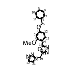 COc1cc(OCc2ccccc2)ccc1-c1nnc(Cn2ccnn2)o1